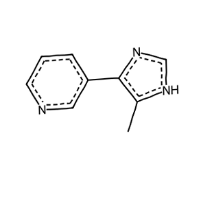 Cc1[nH]cnc1-c1cccnc1